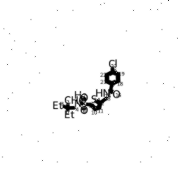 CCC(C=O)(CC)CNS(=O)(=O)c1ccc(CNC(=O)c2ccc(Cl)cc2)s1